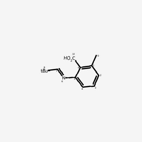 Cc1cccc(N=CC(C)(C)C)c1C(=O)O